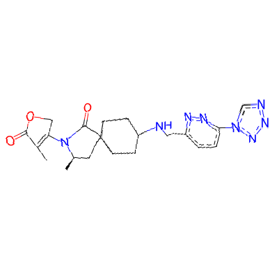 CC1=C(N2C(=O)C3(CCC(NCc4ccc(-n5cnnn5)nn4)CC3)C[C@H]2C)COC1=O